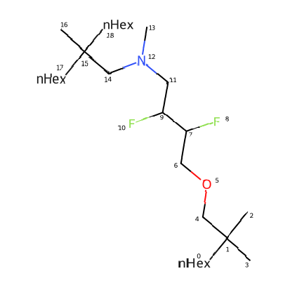 CCCCCCC(C)(C)COCC(F)C(F)CN(C)CC(C)(CCCCCC)CCCCCC